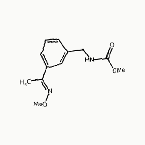 CON=C(C)c1cccc(CNC(=O)OC)c1